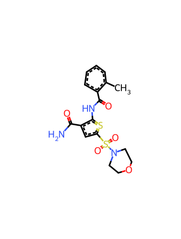 Cc1ccccc1C(=O)Nc1sc(S(=O)(=O)N2CCOCC2)cc1C(N)=O